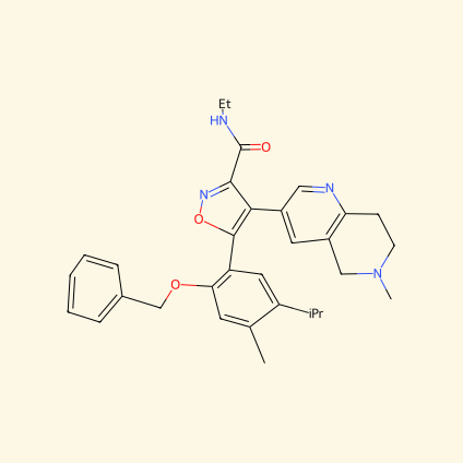 CCNC(=O)c1noc(-c2cc(C(C)C)c(C)cc2OCc2ccccc2)c1-c1cnc2c(c1)CN(C)CC2